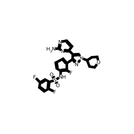 Nc1nccc(-c2cn(C3CCOCC3)nc2-c2cccc(NS(=O)(=O)c3cc(F)ccc3F)c2F)n1